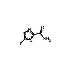 NC(=O)c1ncc(I)s1